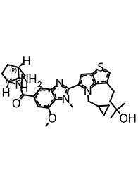 COc1cc(C(=O)N2C[C@H]3CC[C@@H]2[C@@H]3N)cc2nc(-c3cc4scc(CCC(C)(C)O)c4n3CC3CC3)n(C)c12